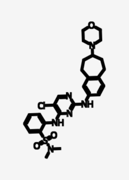 CN(C)S(=O)(=O)c1ccccc1Nc1nc(Nc2ccc3c(c2)CCC(N2CCOCC2)CC3)ncc1Cl